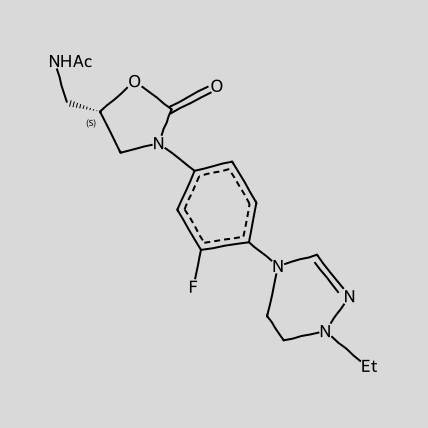 CCN1CCN(c2ccc(N3C[C@H](CNC(C)=O)OC3=O)cc2F)C=N1